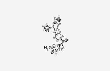 CS(=O)(=O)Nc1ccn(C(=O)N2CCN(Cc3ccc(C(F)(F)F)cc3-c3nncs3)CC2)n1